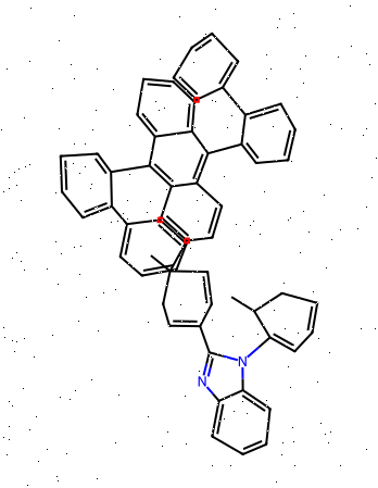 CC1CC=CC=C1n1c(C2=CCC(C)(c3ccc4c(-c5ccccc5-c5ccccc5)c5ccccc5c(-c5ccccc5-c5ccccc5)c4c3)C=C2)nc2ccccc21